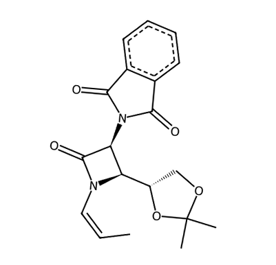 C/C=C\N1C(=O)[C@@H](N2C(=O)c3ccccc3C2=O)[C@H]1[C@@H]1COC(C)(C)O1